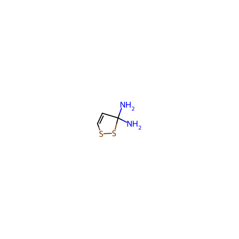 NC1(N)C=CSS1